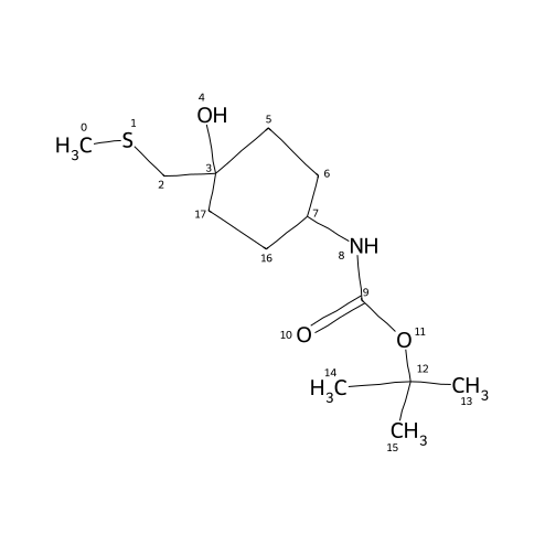 CSCC1(O)CCC(NC(=O)OC(C)(C)C)CC1